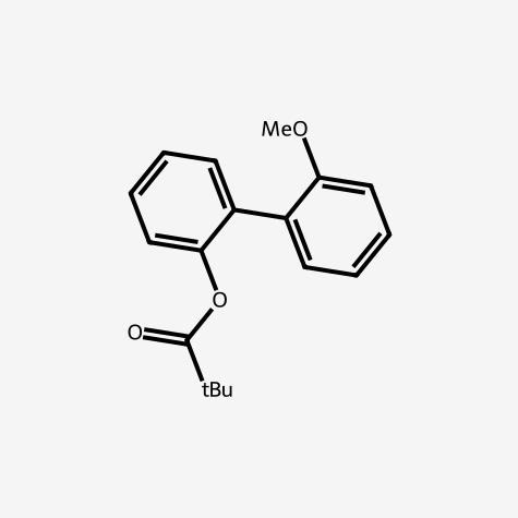 COc1ccccc1-c1ccccc1OC(=O)C(C)(C)C